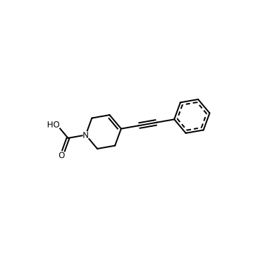 O=C(O)N1CC=C(C#Cc2ccccc2)CC1